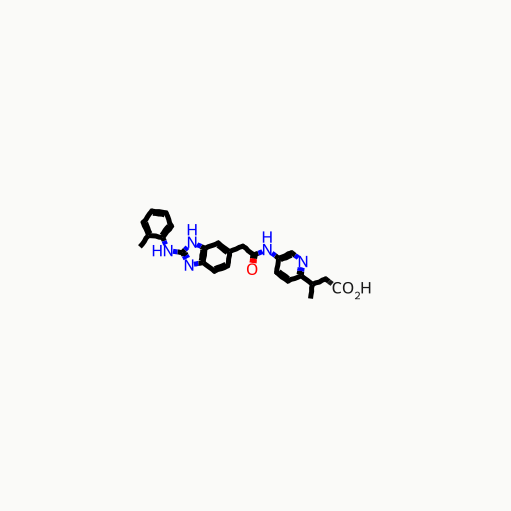 Cc1ccccc1Nc1nc2ccc(CC(=O)Nc3ccc(C(C)CC(=O)O)nc3)cc2[nH]1